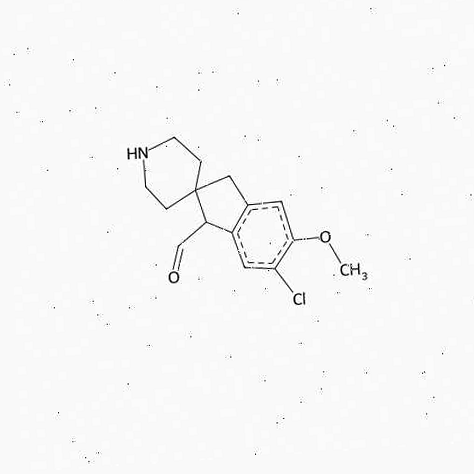 COc1cc2c(cc1Cl)C(C=O)C1(CCNCC1)C2